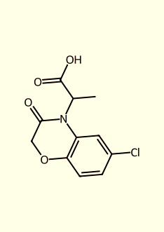 CC(C(=O)O)N1C(=O)COc2ccc(Cl)cc21